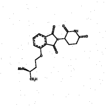 CN[C@@H](CCOc1cccc2c1C(=O)N(C1CCC(=O)NC1=O)C2=O)C(=O)O